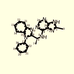 Cc1nc2c(N[C@@H](C)c3nc4ccccc4n3-c3ccccc3)ncnc2[nH]1